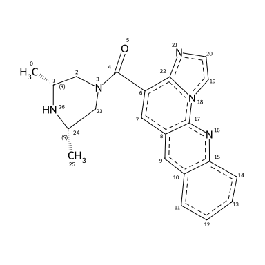 C[C@@H]1CN(C(=O)c2cc3cc4ccccc4nc3n3ccnc23)C[C@H](C)N1